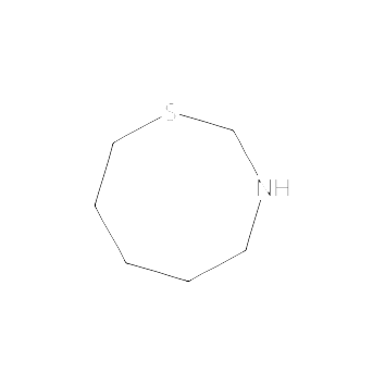 [CH]1CCCCSCN1